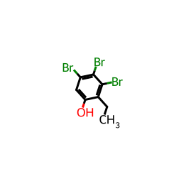 CCc1c(O)cc(Br)c(Br)c1Br